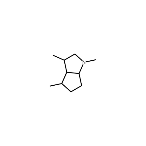 CC1CCC2C1C(C)CN2C